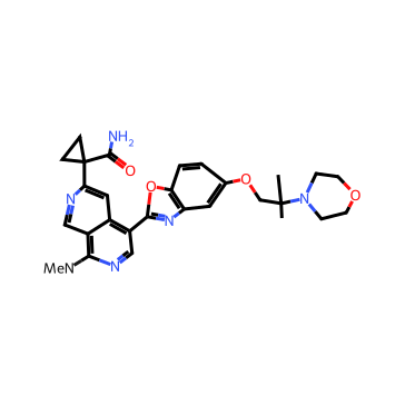 CNc1ncc(-c2nc3cc(OCC(C)(C)N4CCOCC4)ccc3o2)c2cc(C3(C(N)=O)CC3)ncc12